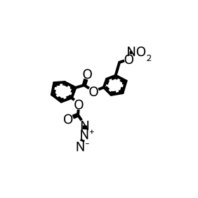 [N-]=[N+]=NC(=O)Oc1ccccc1C(=O)Oc1cccc(CO[N+](=O)[O-])c1